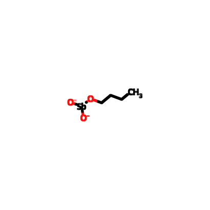 CCCC[O][Sb]([O-])[O-]